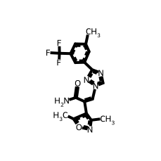 Cc1cc(-c2ncn(C=C(C(N)=O)c3c(C)noc3C)n2)cc(C(F)(F)F)c1